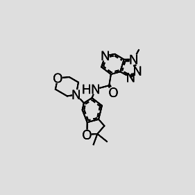 Cn1nnc2c(C(=O)Nc3cc4c(cc3N3CCOCC3)OC(C)(C)C4)cncc21